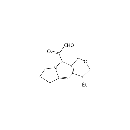 CCC1COCC2=C1C=C1CCCN1C2C(=O)C=O